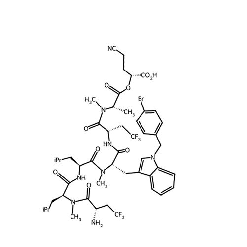 CC(C)C[C@H](NC(=O)[C@H](CC(C)C)N(C)C(=O)[C@@H](N)CC(F)(F)F)C(=O)N(C)[C@@H](Cc1cn(Cc2ccc(Br)cc2)c2ccccc12)C(=O)N[C@@H](CC(F)(F)F)C(=O)N(C)[C@@H](C)C(=O)O[C@H](CCC#N)C(=O)O